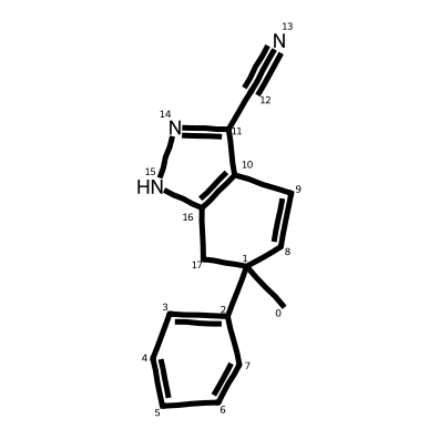 CC1(c2ccccc2)C=Cc2c(C#N)n[nH]c2C1